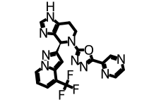 FC(F)(F)c1cccn2nc([C@H]3c4nc[nH]c4CCN3c3nnc(-c4cnccn4)o3)cc12